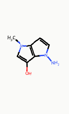 Cn1cc(O)c2c1ccn2N